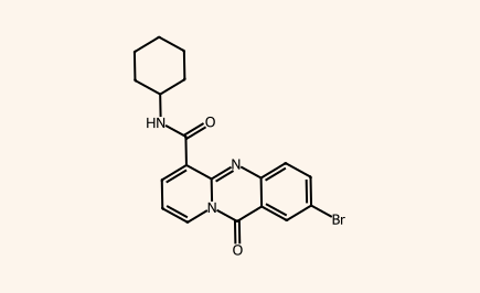 O=C(NC1CCCCC1)c1cccn2c(=O)c3cc(Br)ccc3nc12